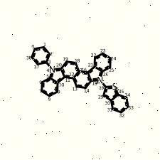 c1ccc(-n2c3ccccc3c3c4ccc5c(c4ccc32)c2ccccc2n5-c2cc3ccccc3s2)cc1